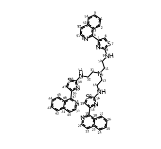 c1ccc2c(-c3csc(NCCN(CCNc4nc(-c5nccc6ccccc56)cs4)CCNc4nc(-c5nccc6ccccc56)cs4)n3)nccc2c1